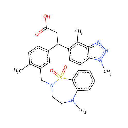 Cc1ccc(C(CC(=O)O)c2ccc3c(nnn3C)c2C)cc1CN1CCN(C)c2ccccc2S1(=O)=O